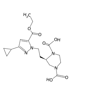 CCOC(=O)c1cc(C2CC2)nn1CC[C@@H]1CN(C(=O)O)CCN1C(=O)O